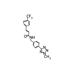 Cn1nnc(-c2ccc(CNC(=O)C=Cc3ccc(C(F)(F)F)cc3)cc2)n1